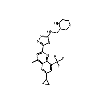 Cc1cc(-c2nnc(NCC3CSCCN3)s2)nc2c(C(F)(F)F)cc(C3CC3)cc12